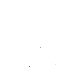 COc1ccc(Cc2ccccc2O[C@@H]2O[C@H](CO)[C@@H](O)[C@H](O)[C@H]2O)cc1C